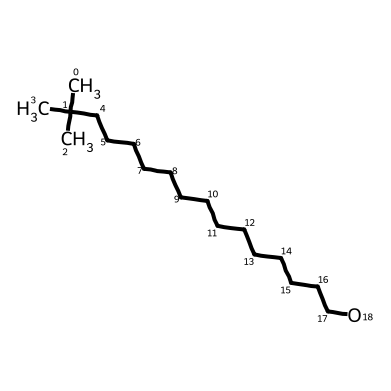 CC(C)(C)CCCCCCCCCCCCCC[O]